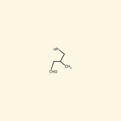 CCC[CH]C(C)CC=O